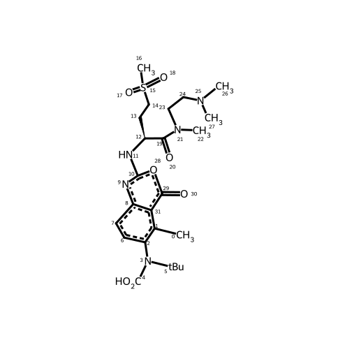 Cc1c(N(C(=O)O)C(C)(C)C)ccc2nc(N[C@@H](CCS(C)(=O)=O)C(=O)N(C)CCN(C)C)oc(=O)c12